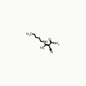 CCCCCNC(S)=C(C#N)C(N)=O